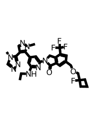 CCNc1cc(-c2c(-c3nncn3C)cnn2C)cc(N2Cc3c(cc(COCC4(F)CCC4)cc3C(F)(F)F)C2=O)n1